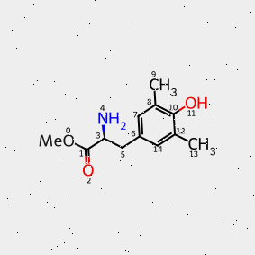 COC(=O)[C@@H](N)Cc1cc(C)c(O)c(C)c1